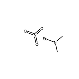 CCN(C)C.O=S(=O)=O